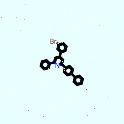 Brc1cccc(-c2cc(-c3ccccc3)nc(-c3ccc(-c4ccccc4)cc3)c2)c1